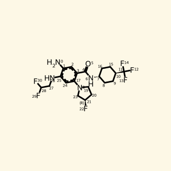 Nc1cc(C(=O)N[C@H]2CC[C@H](C(F)(F)F)CC2)c(N2CC[C@@H](F)C2)cc1NCC(F)F